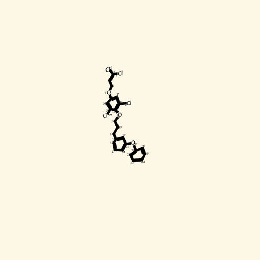 ClC(Cl)=CCOc1cc(Cl)c(OCCCc2cccc(Oc3ccccc3)c2)c(Cl)c1